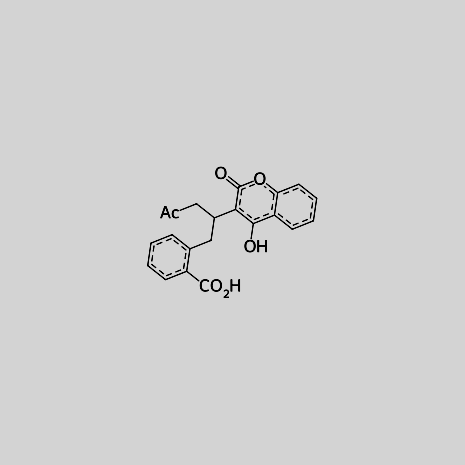 CC(=O)CC(Cc1ccccc1C(=O)O)c1c(O)c2ccccc2oc1=O